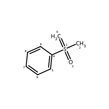 C=S(C)(=O)c1ccccc1